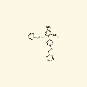 Nc1nc(N)c(-c2ccc(OCc3cccnc3)cc2)c(COCc2ccccc2)n1